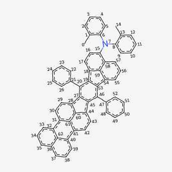 Cc1ccccc1N(c1ccccc1C)c1ccc2c3c(-c4ccccc4)c4c5ccc6c7cccc8cccc(c9ccc(c4c(-c4ccccc4)c3c3cccc1c32)c5c96)c87